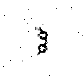 Nc1ccc(Oc2ccc(F)cn2)cn1